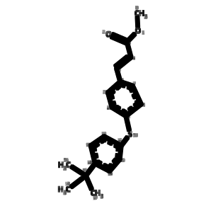 COC(=O)C=Cc1ccc(Sc2ccc(C(C)(C)C)cc2)cc1